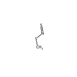 CSN=S